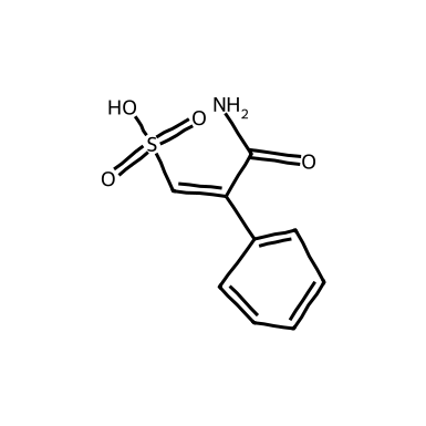 NC(=O)C(=CS(=O)(=O)O)c1ccccc1